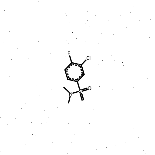 C=S(=O)(c1ccc(F)c(Cl)c1)N(C)C